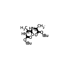 [CH2][C@H](NC(=O)[C@H](C)NC(=O)OC(C)(C)C)C(=O)OC(C)(C)C